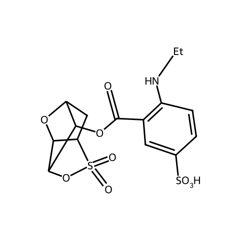 CCNc1ccc(S(=O)(=O)O)cc1C(=O)OC1C2CC3C(O2)C1OS3(=O)=O